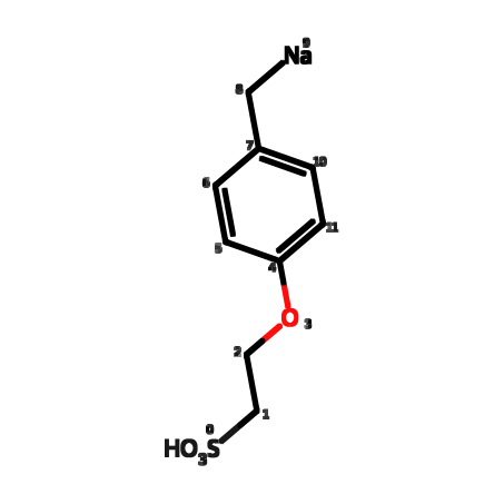 O=S(=O)(O)CCOc1ccc([CH2][Na])cc1